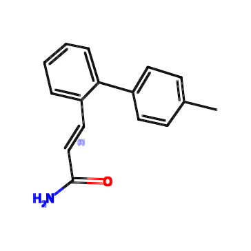 Cc1ccc(-c2ccccc2/C=C/C(N)=O)cc1